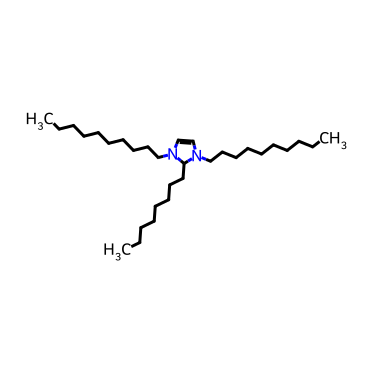 CCCCCCCCCCN1C=CN(CCCCCCCCCC)C1CCCCCCCC